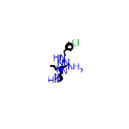 CCCn1c(-c2cc[nH]n2)nc2c(N)nc(NCCc3ccc(Cl)cc3)nc21